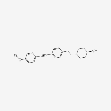 CCC[C@H]1CC[C@H](CCc2ccc(C#Cc3ccc(OCC)cc3)cc2)CC1